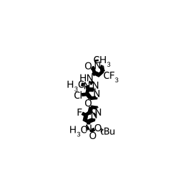 CN(C(=O)OC(C)(C)C)c1cc(F)c2c(Oc3cnc4nc(Nc5cc(C(F)(F)F)cn(C)c5=O)n(C)c4c3Cl)cnn2c1